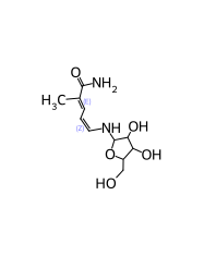 C/C(=C\C=C/NC1OC(CO)C(O)C1O)C(N)=O